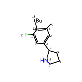 Cc1cc(C2CCCN2)cc(F)c1C(C)(C)C